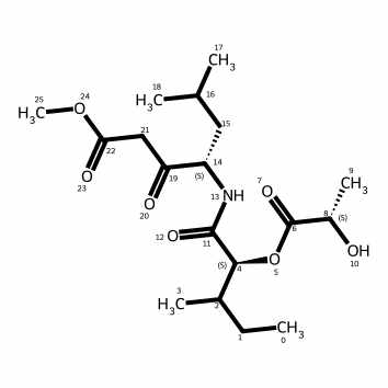 CCC(C)[C@H](OC(=O)[C@H](C)O)C(=O)N[C@@H](CC(C)C)C(=O)CC(=O)OC